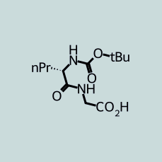 CCC[C@H](NC(=O)OC(C)(C)C)C(=O)NCC(=O)O